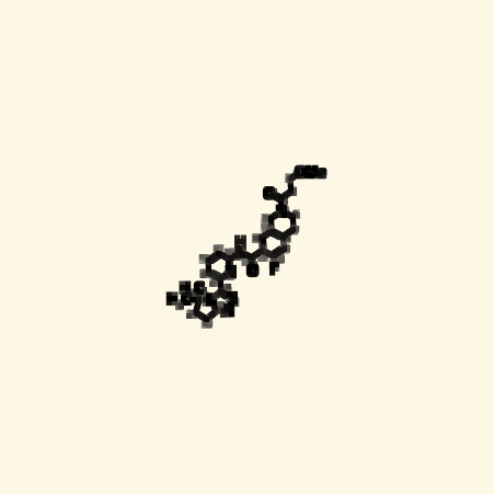 COCCC(=O)N1CCc2cc(F)c(C(=O)Nc3cccc(-c4nnc5n4C(C)(C)CC5)n3)cc2C1